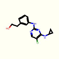 OCCc1cccc(Nc2ncc(Cl)c(NC3CC3)n2)c1